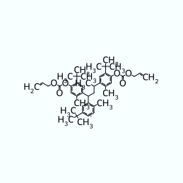 C=CCOC(=O)Oc1cc(C)c(C(C)CC(c2cc(C(C)(C)C)[c]cc2C)c2cc(C(C)(C)C)c(OC(=O)OCC=C)cc2C)cc1C(C)(C)C